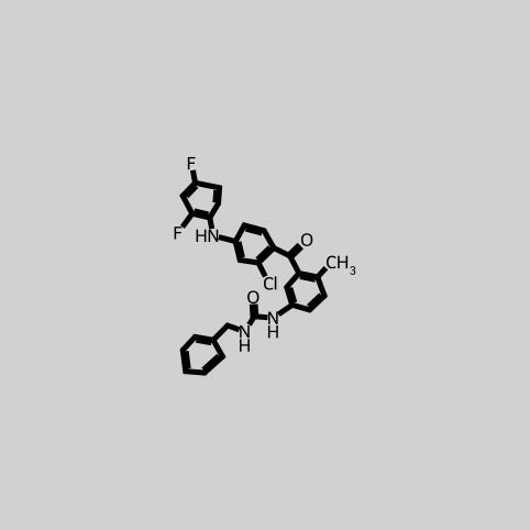 Cc1ccc(NC(=O)NCc2ccccc2)cc1C(=O)c1ccc(Nc2ccc(F)cc2F)cc1Cl